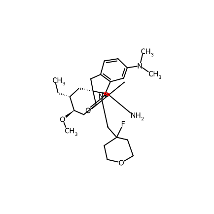 CC[C@@H]1C[C@]2(CC[C@H]1OC)Cc1ccc(N(C)C)cc1[C@]21N=C(N)N(CC2(F)CCOCC2)C1=O